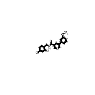 O=C(NCc1ccc(Cl)cc1Cl)c1cncc(-c2cccc(OC(F)(F)F)c2)c1